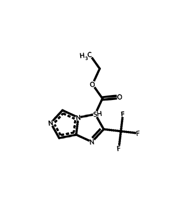 CCOC(=O)[SH]1C(C(F)(F)F)=Nc2cncn21